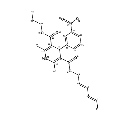 CC=CC=CCOC(=O)C1=C(C)NC(C)=C(C(=O)OCCC)C1c1cccc([N+](=O)[O-])c1